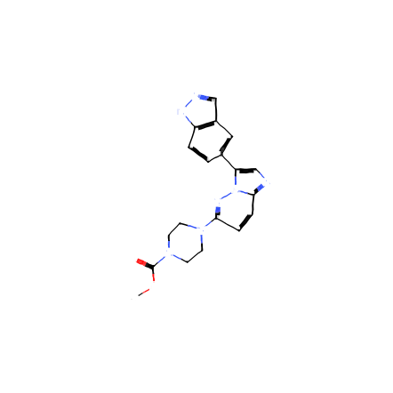 CC(C)(C)OC(=O)N1CCN(c2ccc3ncc(-c4ccc5[nH]ncc5c4)n3n2)CC1